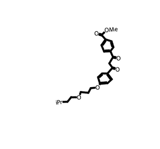 COC(=O)c1ccc(C(=O)CC(=O)c2ccc(OCCCOCCC(C)C)cc2)cc1